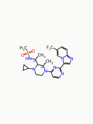 C[C@H](NS(C)(=O)=O)C1[C@@H](C)N(c2ccnc(-c3cnc4ccc(C(F)(F)F)cn34)n2)CCN1C1CC1